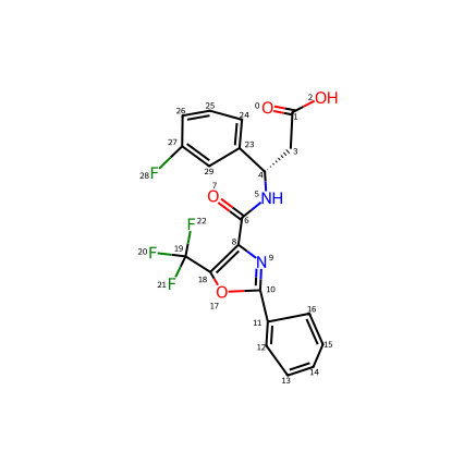 O=C(O)C[C@H](NC(=O)c1nc(-c2ccccc2)oc1C(F)(F)F)c1cccc(F)c1